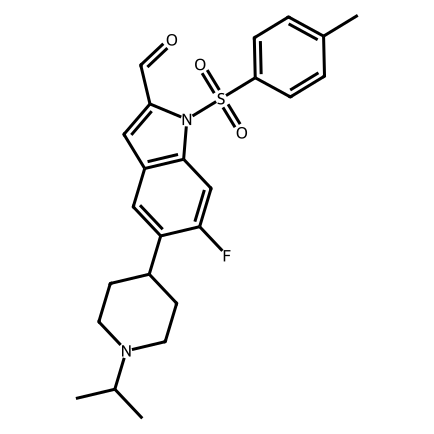 Cc1ccc(S(=O)(=O)n2c(C=O)cc3cc(C4CCN(C(C)C)CC4)c(F)cc32)cc1